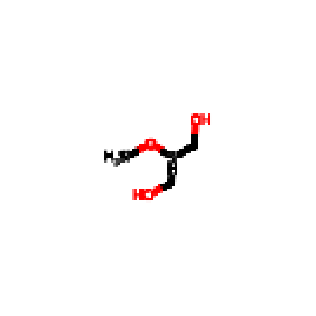 OC[SiH](CO)O[SiH3]